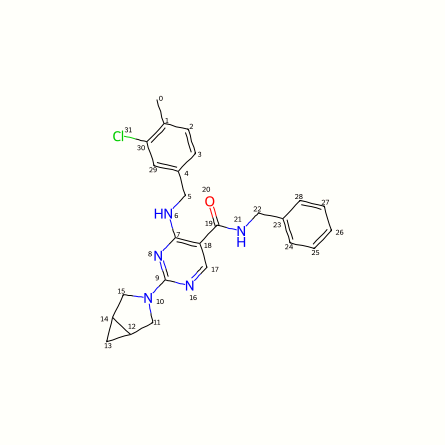 Cc1ccc(CNc2nc(N3CC4CC4C3)ncc2C(=O)NCc2ccccc2)cc1Cl